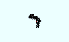 Cc1nn(C2CCN(C)C2)cc1Nc1ncc(C#N)c(NCCCN2CCC(C)(C)COC2=O)n1